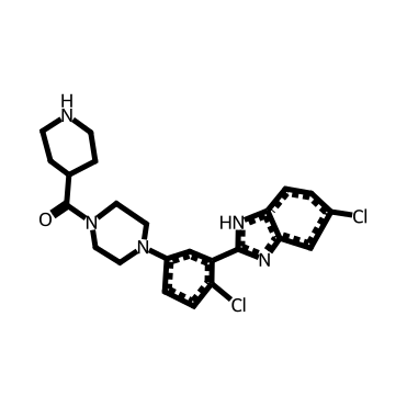 O=C(C1CCNCC1)N1CCN(c2ccc(Cl)c(-c3nc4cc(Cl)ccc4[nH]3)c2)CC1